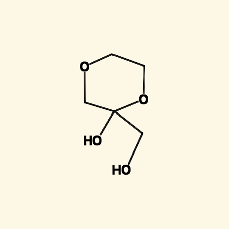 OCC1(O)COCCO1